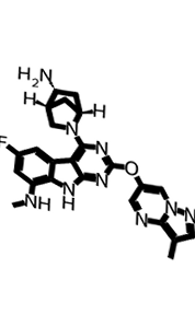 CNc1cc(F)cc2c1[nH]c1nc(Oc3cnc4c(C)cnn4c3)nc(N3C[C@H]4C[C@@H]3C[C@H]4N)c12